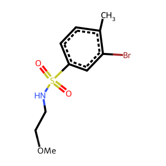 COCCNS(=O)(=O)c1ccc(C)c(Br)c1